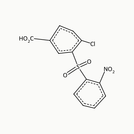 O=C(O)c1ccc(Cl)c(S(=O)(=O)c2ccccc2[N+](=O)[O-])c1